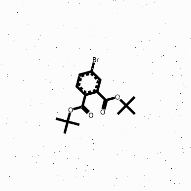 CC(C)(C)OC(=O)c1ccc(Br)cc1C(=O)OC(C)(C)C